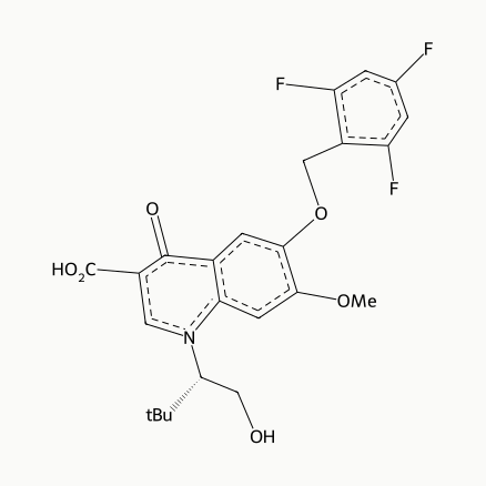 COc1cc2c(cc1OCc1c(F)cc(F)cc1F)c(=O)c(C(=O)O)cn2[C@H](CO)C(C)(C)C